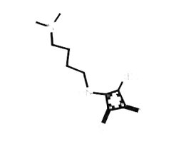 CN(C)CCCCNc1c(C(C)(C)C)c(=S)c1=S